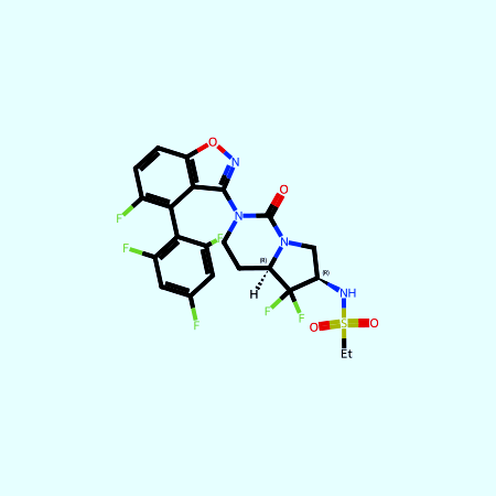 CCS(=O)(=O)N[C@@H]1CN2C(=O)N(c3noc4ccc(F)c(-c5c(F)cc(F)cc5F)c34)CC[C@@H]2C1(F)F